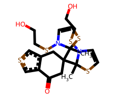 CC1(C2(C3(C)SC=CN3SCCO)CC(=O)c3cscc3C2)SC=CN1SCCO